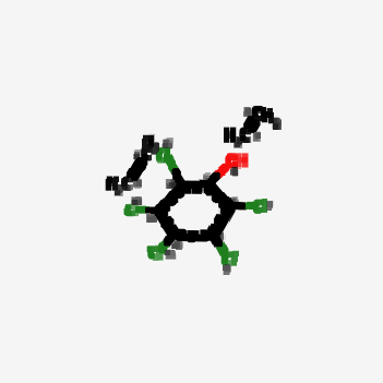 C=C.C=C.Oc1c(Cl)c(Cl)c(Cl)c(Cl)c1Cl